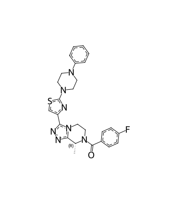 C[C@@H]1c2nnc(-c3csc(N4CCN(c5ccccc5)CC4)n3)n2CCN1C(=O)c1ccc(F)cc1